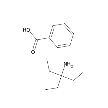 CCC(N)(CC)CC.O=C(O)c1ccccc1